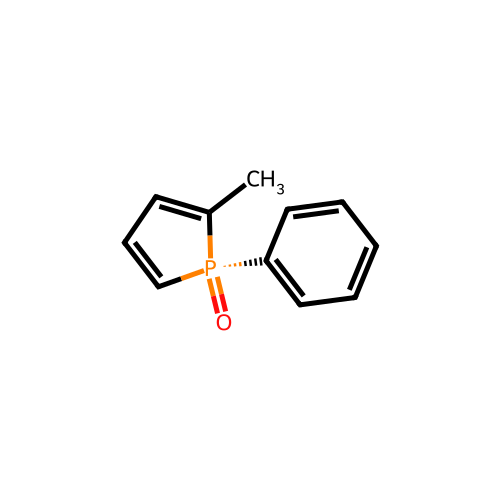 CC1=CC=C[P@@]1(=O)c1ccccc1